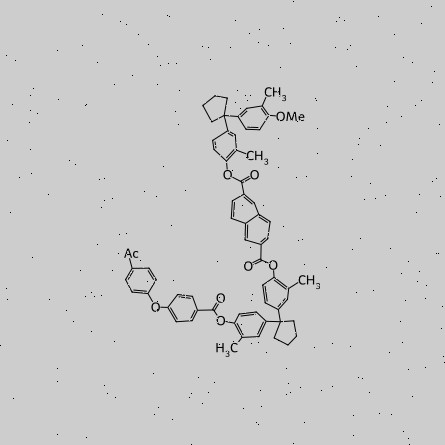 COc1ccc(C2(c3ccc(OC(=O)c4ccc5cc(C(=O)Oc6ccc(C7(c8ccc(OC(=O)c9ccc(Oc%10ccc(C(C)=O)cc%10)cc9)c(C)c8)CCCC7)cc6C)ccc5c4)c(C)c3)CCCC2)cc1C